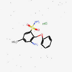 Cl.Nc1cc(C(=O)O)cc(S(N)(=O)=O)c1Oc1ccccc1